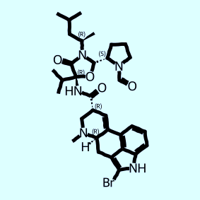 CC(C)C[C@@H](C)N1C(=O)[C@@](NC(=O)[C@@H]2C=C3c4cccc5[nH]c(Br)c(c45)C[C@H]3N(C)C2)(C(C)C)OC1[C@@H]1CCCN1C=O